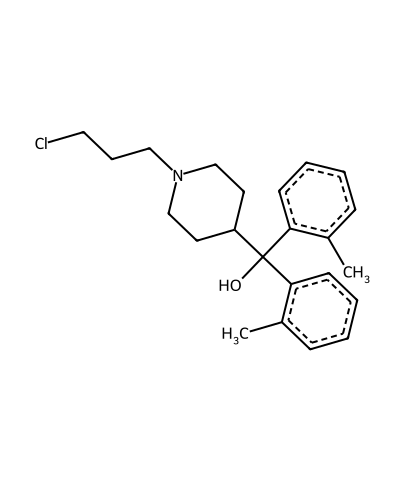 Cc1ccccc1C(O)(c1ccccc1C)C1CCN(CCCCl)CC1